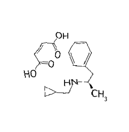 C[C@H](Cc1ccccc1)NCC1CC1.O=C(O)/C=C\C(=O)O